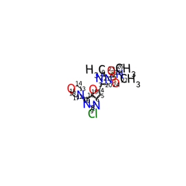 Cc1nc(-c2cc3nc(Cl)nc(N4CCOCC4)c3o2)cn1S(=O)(=O)N(C)C